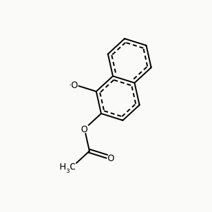 CC(=O)Oc1ccc2ccccc2c1[O]